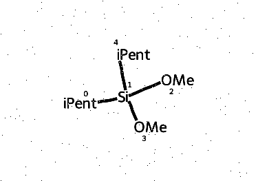 CCCC(C)[Si](OC)(OC)C(C)CCC